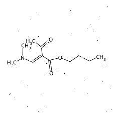 CCCCOC(=O)C(=CN(C)C)C(C)=O